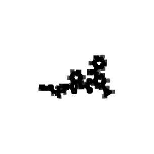 COCC(C)(C)CNC(=O)c1ccncc1NC(=O)Oc1nc(C2CC2)cnc1Nc1cncnc1